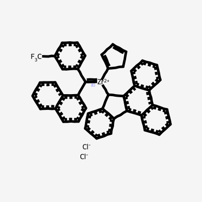 FC(F)(F)c1cccc(/[C](c2cccc3ccccc23)=[Zr+2](\[C]2=CC=CC2)[CH]2c3ccccc3-c3c2c2ccccc2c2ccccc32)c1.[Cl-].[Cl-]